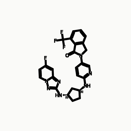 O=C1c2c(cccc2C(F)(F)F)CN1c1ccc(N[C@H]2CC[C@H](Nc3nc4cc(F)ccn4n3)C2)nc1